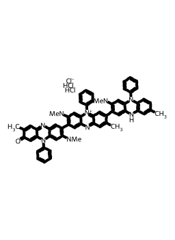 CNc1cc2c(cc1-c1cc3c(cc1C)nc1cc(-c4cc5nc6cc(C)c(=O)cc-6n(-c6ccccc6)c5cc4NC)c(NC)cc1[n+]3-c1ccccc1)Nc1cc(C)ccc1N2c1ccccc1.Cl.Cl.[Cl-]